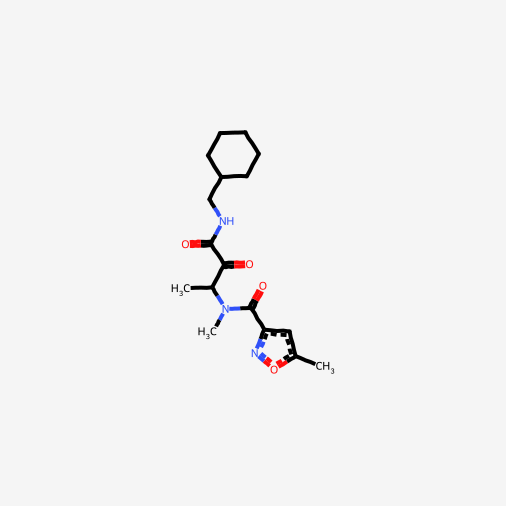 Cc1cc(C(=O)N(C)C(C)C(=O)C(=O)NCC2CCCCC2)no1